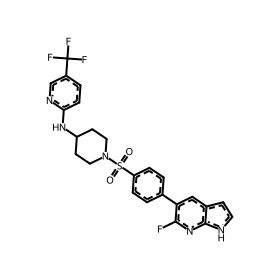 O=S(=O)(c1ccc(-c2cc3cc[nH]c3nc2F)cc1)N1CCC(Nc2ccc(C(F)(F)F)cn2)CC1